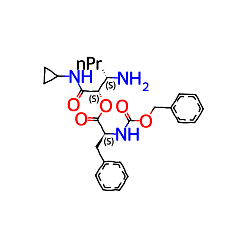 CCC[C@H](N)[C@H](OC(=O)[C@H](Cc1ccccc1)NC(=O)OCc1ccccc1)C(=O)NC1CC1